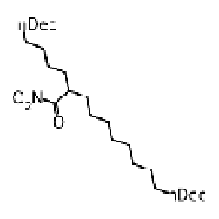 CCCCCCCCCCCCCCCCCCC(CCCCCCCCCCCCCC)C(=O)[N+](=O)[O-]